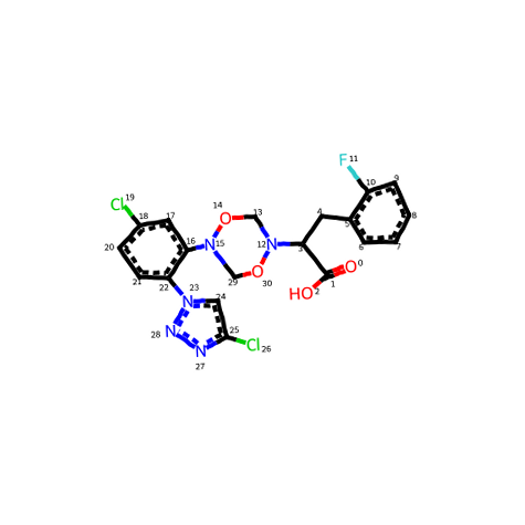 O=C(O)C(Cc1ccccc1F)N1CON(c2cc(Cl)ccc2-n2cc(Cl)nn2)CO1